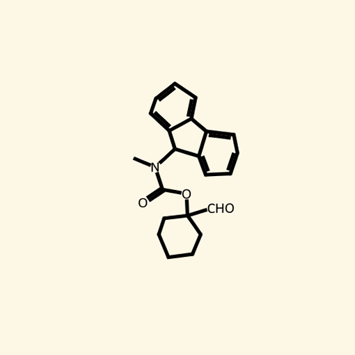 CN(C(=O)OC1(C=O)CCCCC1)C1c2ccccc2-c2ccccc21